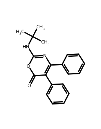 CC(C)(C)Nc1nc(-c2ccccc2)c(-c2ccccc2)c(=O)o1